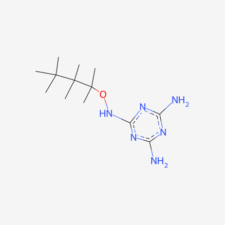 CC(C)(C)C(C)(C)C(C)(C)ONc1nc(N)nc(N)n1